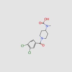 CN(C(=O)O)C1CCN(C(=O)c2ccc(Cl)c(Cl)c2)CC1